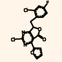 O=C1OC(Cc2ccc(F)cc2Cl)c2nc(Cl)nc(-c3ccco3)c21